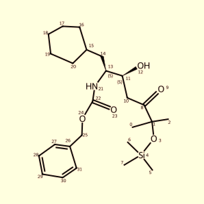 CC(C)(O[Si](C)(C)C)C(=O)C[C@H](O)[C@H](CC1CCCCC1)NC(=O)OCc1ccccc1